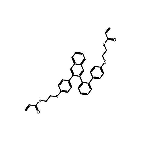 C=CC(=O)SCCSc1ccc(-c2ccccc2-c2cc3ccccc3cc2-c2ccc(SCCSC(=O)C=C)cc2)cc1